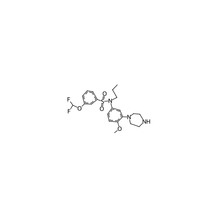 CCCN(c1ccc(OC)c(N2CCNCC2)c1)S(=O)(=O)c1cccc(OC(F)F)c1